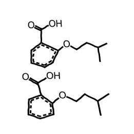 CC(C)CCOc1ccccc1C(=O)O.CC(C)CCOc1ccccc1C(=O)O